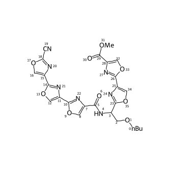 CCCCOCC(NC(=O)c1coc(-c2coc(-c3coc(C#N)n3)n2)n1)c1nc(-c2nc(C(=O)OC)co2)co1